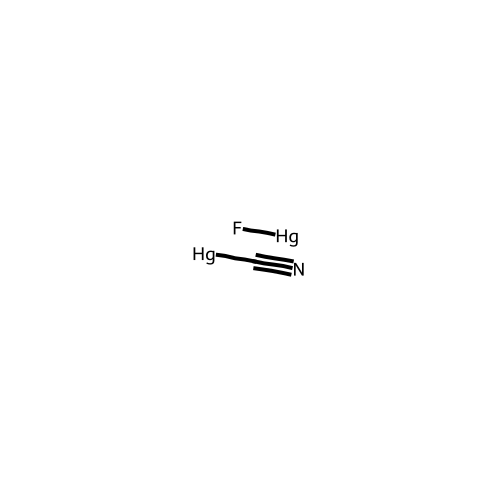 N#[C][Hg].[F][Hg]